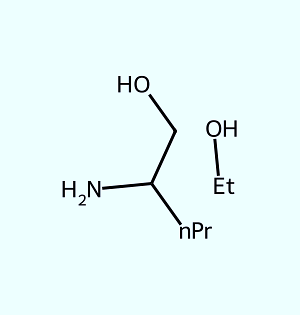 CCCC(N)CO.CCO